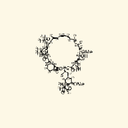 [2H]C([2H])([2H])O[C@H]1C[C@@H]2CC([2H])([2H])[C@@H](C)[C@@](O)(O2)C(=O)C(=O)N2CCCC[C@H]2C(=O)O[C@H]([C@H](C)C[C@@H]2CC[C@@H](OP(C)(=O)C([2H])([2H])[2H])[C@H](OC)C2)CC(=O)[C@H](C([2H])([2H])[2H])/C=C(\C)[C@@H](O)[C@@H](OC)C(=C)[C@H](C)C[C@H](C)/C=C/C=C/C=C/1C